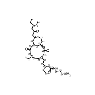 CCN(CC)CC(=O)CC1CCC[C@@H]2CC(CC(=O)CN(CC)CCN(CCN(CC)CC(=O)NCCCN)CC(=O)O2)C1